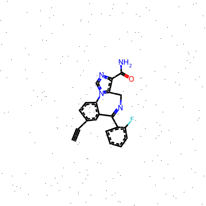 C#Cc1ccc2c(c1)C(c1ccccc1F)=NCc1c(C(N)=O)ncn1-2